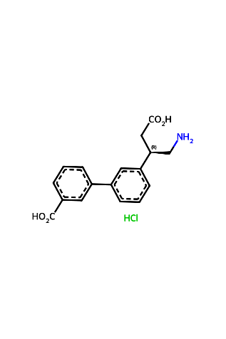 Cl.NC[C@H](CC(=O)O)c1cccc(-c2cccc(C(=O)O)c2)c1